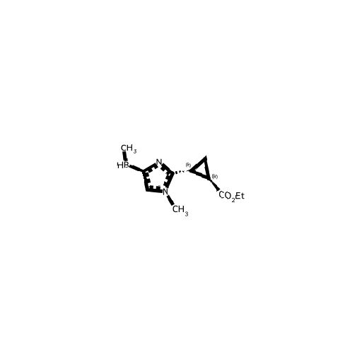 CBc1cn(C)c([C@@H]2C[C@H]2C(=O)OCC)n1